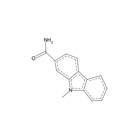 Cn1c2ccccc2c2ccc(C(N)=O)cc21